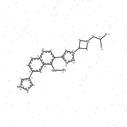 CC(C)Nc1c(-c2cn(C3CN(CC(F)F)C3)nn2)cnc2ccc(-c3cn[nH]c3)cc12